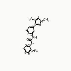 Cn1cc(Br)c(-c2cccc(NC(=O)Cc3ccccc3F)c2)n1